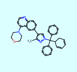 FC(F)(F)c1nn(C(c2ccccc2)(c2ccccc2)C2C=CC=CC2)cc1-c1ccc2nccc(N3CCOCC3)c2c1